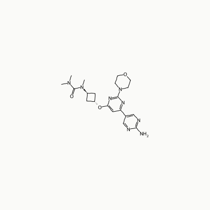 CN(C)C(=O)N(C)[C@H]1C[C@H](Oc2cc(-c3cnc(N)nc3)nc(N3CCOCC3)n2)C1